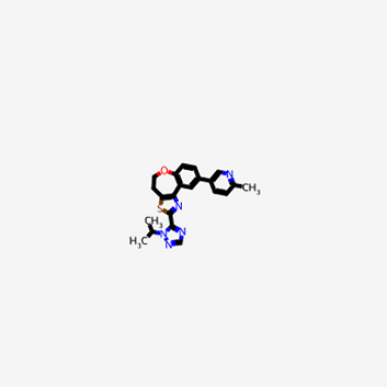 Cc1ccc(-c2ccc3c(c2)-c2nc(-c4ncnn4C(C)C)sc2CCO3)cn1